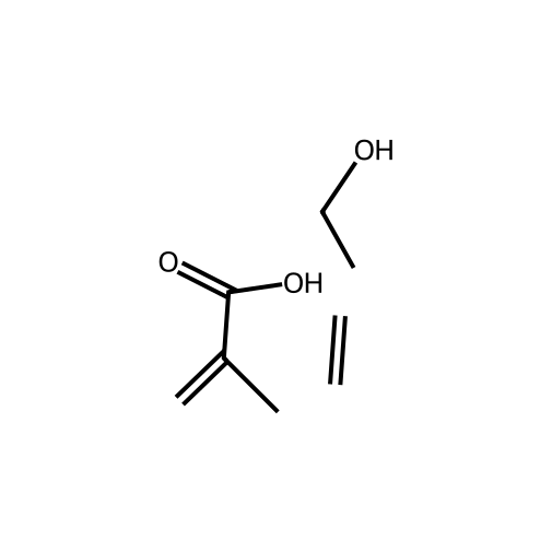 C=C.C=C(C)C(=O)O.CCO